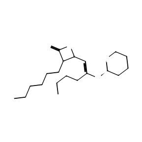 CCCCCCC1C(=O)OC1C=C(CCCC)O[C@@H]1CCCCO1